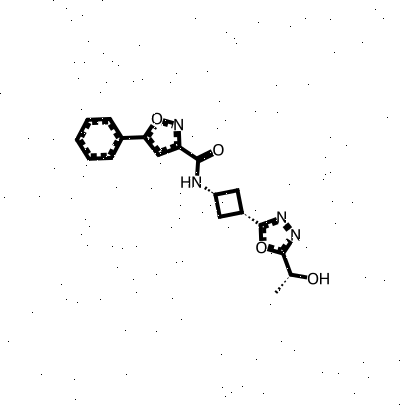 C[C@@H](O)c1nnc([C@H]2C[C@@H](NC(=O)c3cc(-c4ccccc4)on3)C2)o1